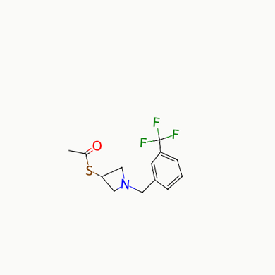 CC(=O)SC1CN(Cc2cccc(C(F)(F)F)c2)C1